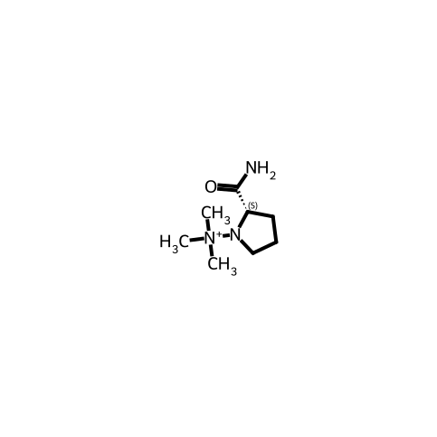 C[N+](C)(C)N1CCC[C@H]1C(N)=O